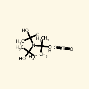 CC(C)(O)N(C(C)(C)O)C(C)(C)O.[O]=[Ti]=[O]